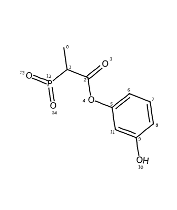 CC(C(=O)Oc1cccc(O)c1)P(=O)=O